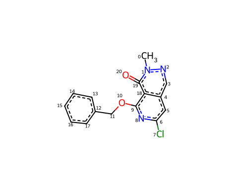 Cn1ncc2cc(Cl)nc(OCc3ccccc3)c2c1=O